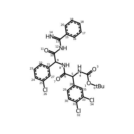 CC(C)(C)OC(=O)NC(C(=O)NC(C(=O)NC(=N)c1ccccc1)c1cccc(Cl)c1)c1ccc(Cl)c(Cl)c1